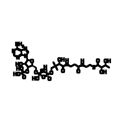 CC(O)C(O)C(=O)SCCNC(=O)CCNC(=O)[C@H](O)C(C)(C)COP(=O)(O)OP(=O)(O)OC[C@H]1O[C@@H](n2cnc3c(N)ncnc32)[C@H](O)[C@@H]1OP(=O)(O)O